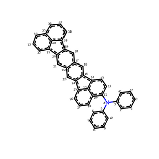 c1ccc(N(c2ccccc2)c2ccc3c4cc5cc6c(cc5cc4c4cccc2c43)c2cccc3cccc6c32)cc1